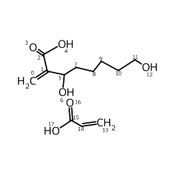 C=C(C(=O)O)C(O)CCCCCO.C=CC(=O)O